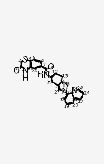 O=C1CSc2ccc(C(=O)NC3CCc4nn(-c5cccc6cccnc56)cc4C3)cc2N1